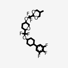 CC1COC(C(F)(F)OC2CCC(C(F)(F)OC3CCC(c4cc(F)c(F)c(F)c4)CC3)OC2)OC1